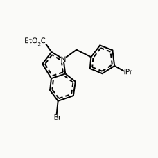 CCOC(=O)c1cc2cc(Br)ccc2n1Cc1ccc(C(C)C)cc1